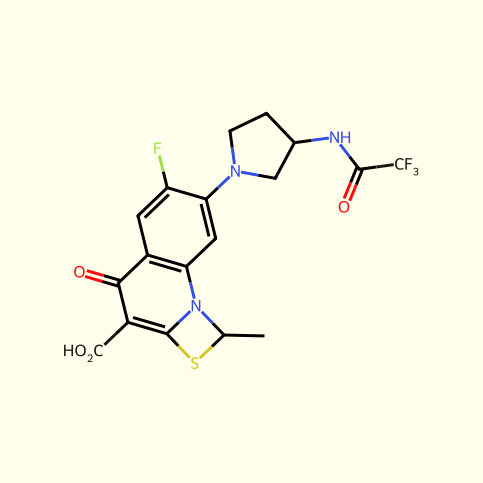 CC1Sc2c(C(=O)O)c(=O)c3cc(F)c(N4CCC(NC(=O)C(F)(F)F)C4)cc3n21